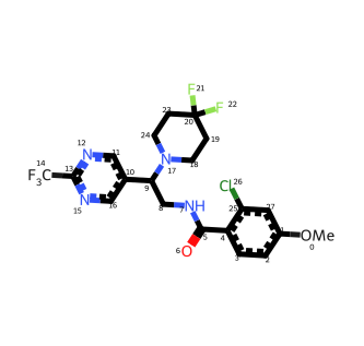 COc1ccc(C(=O)NCC(c2cnc(C(F)(F)F)nc2)N2CCC(F)(F)CC2)c(Cl)c1